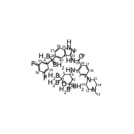 BC1(B)CC(Nc2cc(N3CCN(C)CC3)ccc2C(=O)Nc2n[nH]c3ccc(C(B)(B)c4cc(F)cc(F)c4)cc23)CC(B)(B)O1